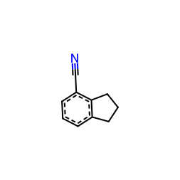 N#Cc1cccc2c1CCC2